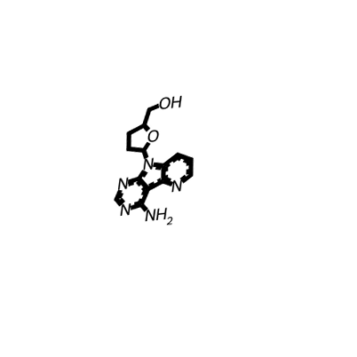 Nc1ncnc2c1c1ncccc1n2C1CCC(CO)O1